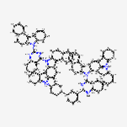 c1cc(-c2ccc3c(c2)c2cc4c5c6ccccc6ccc5n(-c5nc(-n6c7ccccc7c7c8ccccc8ccc76)nc6ccccc56)c4c4c5ccccc5n3c24)cc(-c2nc(-n3c4ccc5ccccc5c4c4cc5c6ccccc6n6c7ccccc7c(c43)c56)c3ccccc3n2)c1